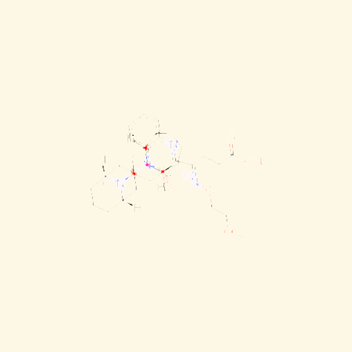 COCCO/N=C(\CCC(=O)O)c1nc2ccccc2n([C@H]2C[C@H]3CCC[C@@H](C2)N3[C@@H]2C[C@@H]3CCCC[C@@H](C3)C2)c1=O